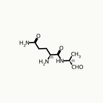 C[C@@H](C=O)NC(=O)[C@@H](N)CCC(N)=O